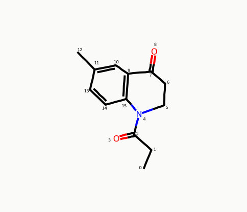 CCC(=O)N1CCC(=O)c2cc(C)ccc21